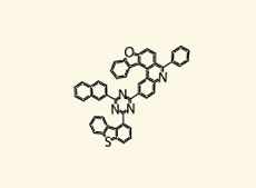 c1ccc(-c2nc3ccc(-c4nc(-c5ccc6ccccc6c5)nc(-c5cccc6sc7ccccc7c56)n4)cc3c3c2ccc2oc4ccccc4c23)cc1